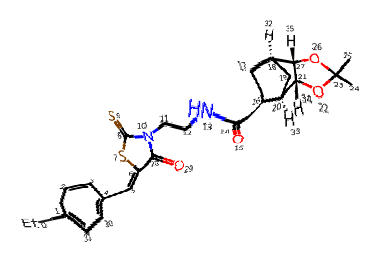 CCc1ccc(/C=C2\SC(=S)N(CCNC(=O)[C@H]3C[C@@H]4C[C@H]3[C@H]3OC(C)(C)O[C@@H]43)C2=O)cc1